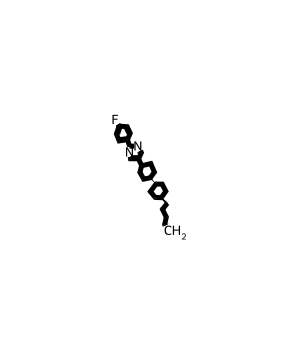 C=CCCC[C@H]1CC[C@H](C2CCC(c3cnc(-c4ccc(F)cc4)nc3)CC2)CC1